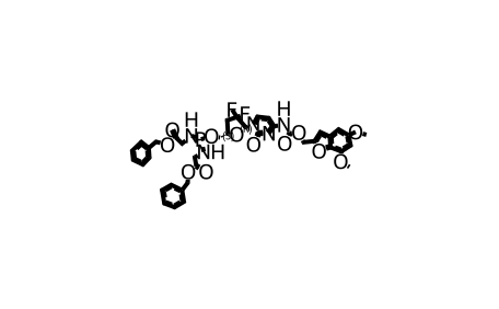 COc1cc(OC)c2oc(COC(=O)Nc3ccn([C@@H]4O[C@H](COP(NCC(=O)OCc5ccccc5)NCC(=O)OCc5ccccc5)CC4(F)F)c(=O)n3)cc2c1